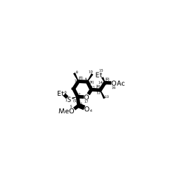 CCS[C@]1(C(=O)OC)C[C@@H](C)[C@@H](C)C([C@H](C)[C@@H](CC)OC(C)=O)O1